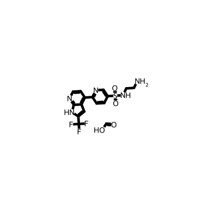 NCCNS(=O)(=O)c1ccc(-c2ccnc3[nH]c(C(F)(F)F)cc23)nc1.O=CO